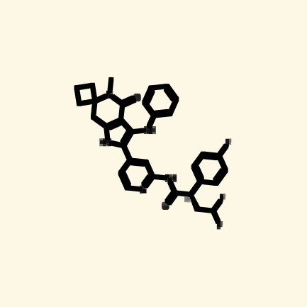 CN1C(=O)c2c([nH]c(-c3ccnc(NC(=O)[C@H](CC(F)F)c4ccc(F)cc4)c3)c2Nc2ccccc2)CC12CCC2